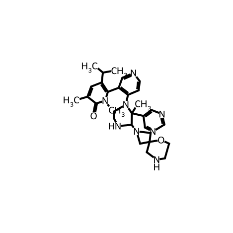 Cc1cc(C(C)C)c(-c2cnccc2N2CCNC(N3CC4(CNCCO4)C3)C2(C)c2cncnc2)n(C)c1=O